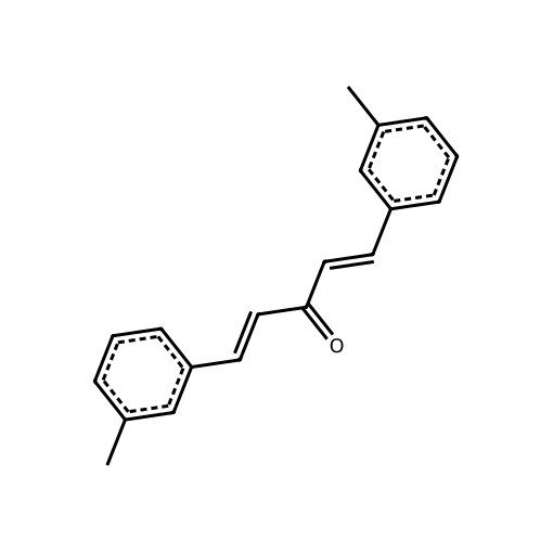 Cc1cccc(/C=C/C(=O)/C=C/c2cccc(C)c2)c1